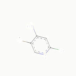 Nc1cc(Cl)ncc1S